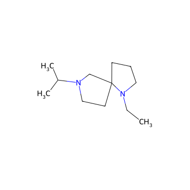 CCN1CCCC12CCN(C(C)C)C2